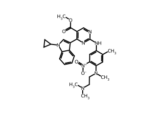 COC(=O)c1cnc(Nc2cc([N+](=O)[O-])c(N(C)CCN(C)C)cc2C)nc1-c1cn(C2CC2)c2ccccc12